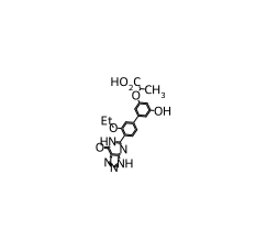 CCOc1cc(-c2cc(O)cc(O[C@H](C)C(=O)O)c2)ccc1-c1nc2[nH]nnc2c(=O)[nH]1